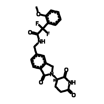 COc1ccccc1C(F)(F)C(=O)NCc1ccc2c(c1)CN([C@@H]1CCC(=O)NC1=O)C2=O